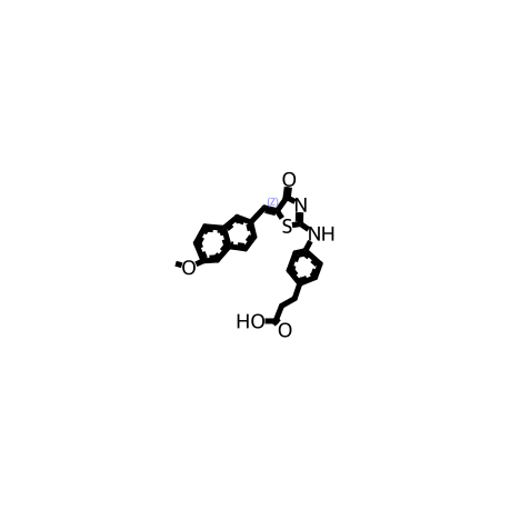 COc1ccc2cc(/C=C3\SC(Nc4ccc(CCC(=O)O)cc4)=NC3=O)ccc2c1